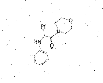 CCC(Nc1[c]cccc1)C(=O)N1CCOCC1